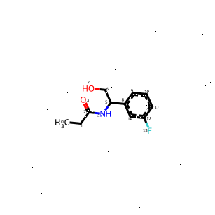 CCC(=O)NC(CO)c1cccc(F)c1